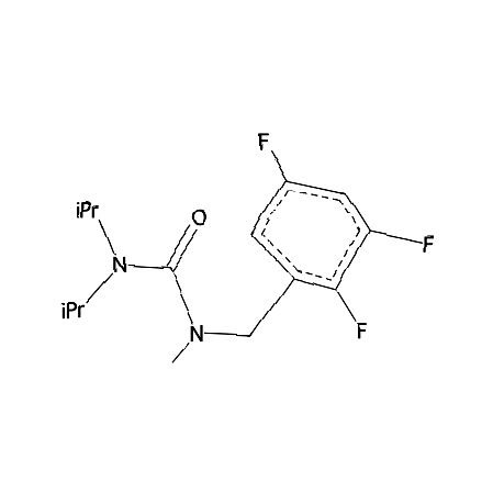 CC(C)N(C(=O)N(C)Cc1cc(F)cc(F)c1F)C(C)C